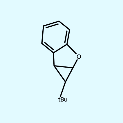 CC(C)(C)C1C2Oc3ccccc3C21